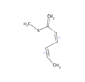 C=C(/C=C\C=C/C)SC